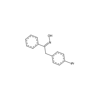 CC(C)c1ccc(CC(=NO)c2ccccc2)cc1